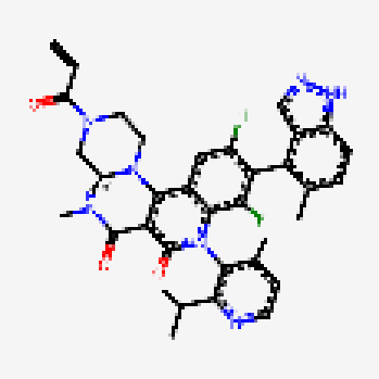 C=CC(=O)N1CCN(c2c(C(=O)NC)c(=O)n(-c3c(C)ccnc3C(C)C)c3c(F)c(-c4c(C)ccc5[nH]ncc45)c(Cl)cc23)[C@@H](C)C1